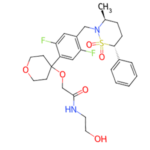 C[C@H]1CC[C@H](c2ccccc2)S(=O)(=O)N1Cc1cc(F)c(C2(OCC(=O)NCCO)CCOCC2)cc1F